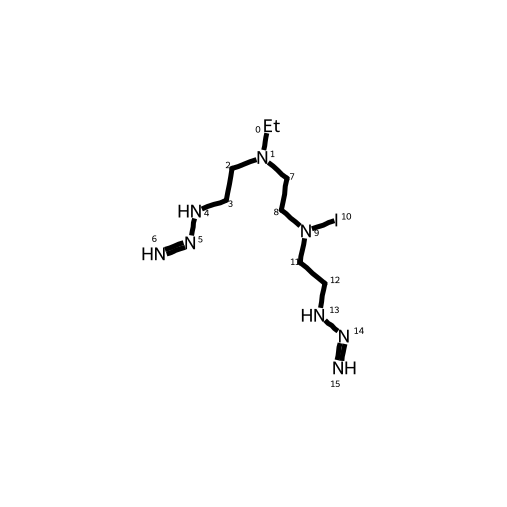 CCN(CCNN=N)CCN(I)CCNN=N